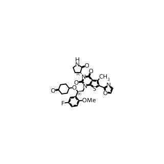 COc1ccc(F)cc1[C@H](Cn1c(=O)n([C@@H]2CCNC2=O)c(=O)c2c(C)c(-c3ncco3)sc21)OC1CCC(=O)CC1